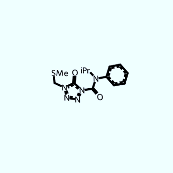 CSCn1nnn(C(=O)N(c2ccccc2)C(C)C)c1=O